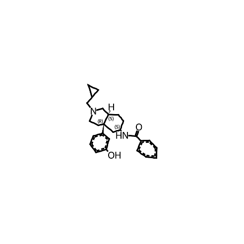 O=C(N[C@H]1CC[C@@H]2CN(CC3CC3)CC[C@@]2(c2cccc(O)c2)C1)c1ccccc1